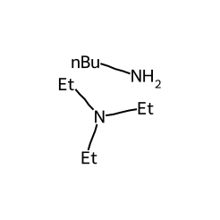 CCCCN.CCN(CC)CC